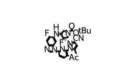 CC(=O)c1ccc(-n2cnc3cc(F)c(N[C@H]4CN(C(=O)OC(C)(C)C)C[C@H]4F)cc32)nc1-n1nc(C#N)cc1C